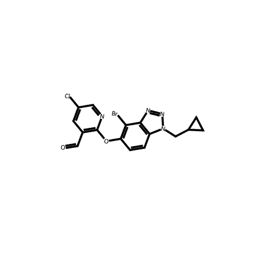 O=Cc1cc(Cl)cnc1Oc1ccc2c(nnn2CC2CC2)c1Br